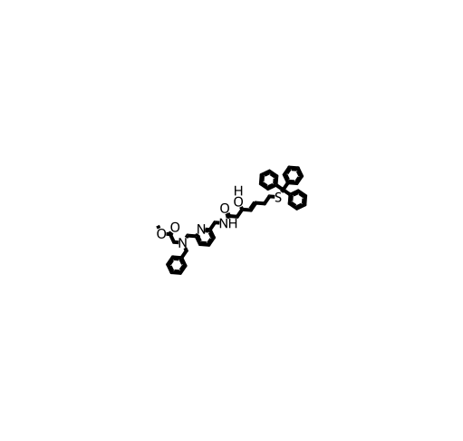 COC(=O)CN(Cc1ccccc1)Cc1cccc(CNC(=O)CC(O)C=CCCSC(c2ccccc2)(c2ccccc2)c2ccccc2)n1